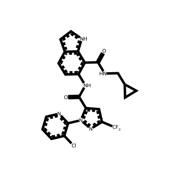 O=C(NCC1CC1)c1c(NC(=O)c2cc(C(F)(F)F)nn2-c2ncccc2Cl)ccc2cc[nH]c12